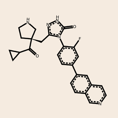 O=C(C1CC1)[C@]1(Cc2n[nH]c(=O)n2-c2ccc(-c3ccc4cnccc4c3)cc2F)CCNC1